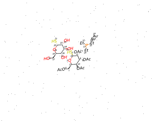 CC(=O)OC[C@H]1O[C@@H](S)[C@H](OC(C)=O)[C@H](OC(C)=O)[C@H]1OC(C)=O.CCP(CC)CC.OC[C@H]1O[C@H](S)[C@H](O)[C@@H](O)[C@@H]1O.[Au].[Au]